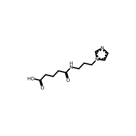 O=C(O)CCCC(=O)NCCCn1ccnc1